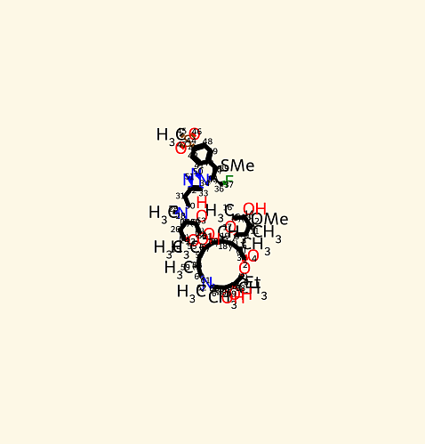 CC[C@H]1OC(=O)[C@H](C)[C@@H](C2C[C@@](C)(OC)[C@@H](O)[C@H](C)O2)[C@H](C)[C@@H](O[C@@H]2O[C@H](C)C[C@H](N(C)CCc3cn([C@H](CF)[C@H](SC)c4ccc(S(C)(=O)=O)cc4)nn3)[C@H]2O)[C@](C)(O)C[C@@H](C)CN(C)[C@H](C)[C@@H](O)[C@]1(C)O